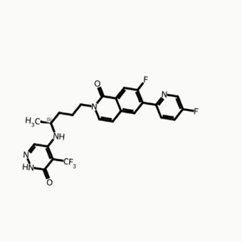 C[C@@H](CCCn1ccc2cc(-c3ccc(F)cn3)c(F)cc2c1=O)Nc1cn[nH]c(=O)c1C(F)(F)F